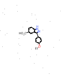 CCOc1ccc(-c2n[nH]c3ccc(C(=O)O)cc23)cc1